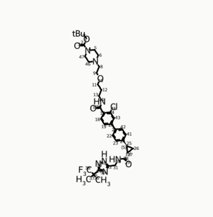 CC(C)(C)OC(=O)N1CCN(CCOCCCNC(=O)c2ccc(-c3ccc([C@H]4C[C@@H]4C(=O)NCc4nc(C(C)(C)C(F)(F)F)n[nH]4)cc3)cc2Cl)CC1